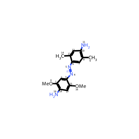 COc1cc(/N=N/c2cc(C)c(N)cc2C)c(OC)cc1N